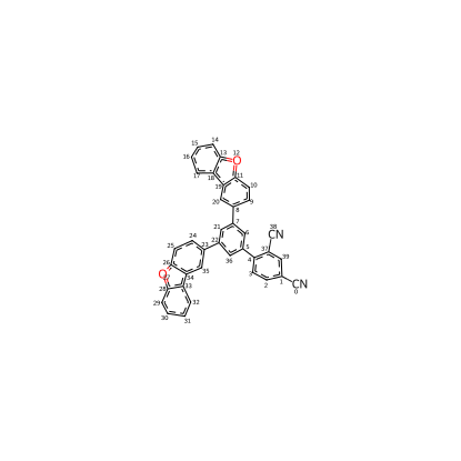 N#Cc1ccc(-c2cc(-c3ccc4oc5ccccc5c4c3)cc(-c3ccc4oc5ccccc5c4c3)c2)c(C#N)c1